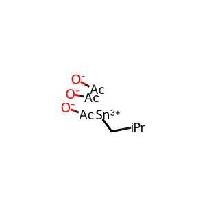 CC(=O)[O-].CC(=O)[O-].CC(=O)[O-].CC(C)[CH2][Sn+3]